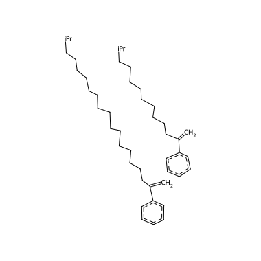 C=C(CCCCCCCCCC(C)C)c1ccccc1.C=C(CCCCCCCCCCCCCCCC(C)C)c1ccccc1